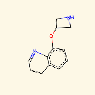 C1=Nc2c(cccc2OC2CNC2)CC1